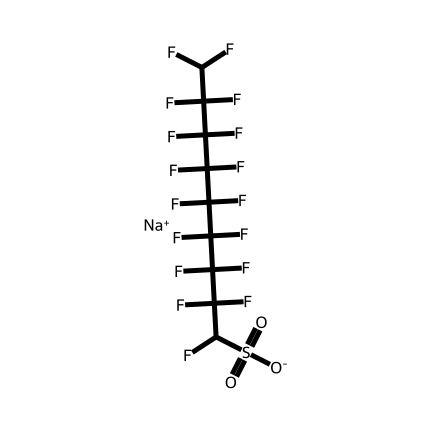 O=S(=O)([O-])C(F)C(F)(F)C(F)(F)C(F)(F)C(F)(F)C(F)(F)C(F)(F)C(F)(F)C(F)F.[Na+]